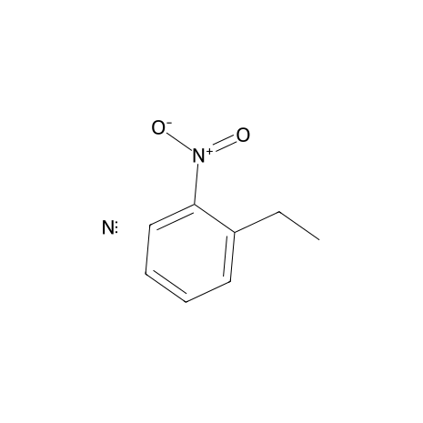 CCc1ccccc1[N+](=O)[O-].[N]